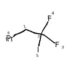 CC(C)CC(F)(F)I